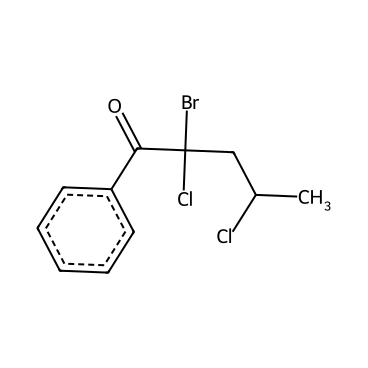 CC(Cl)CC(Cl)(Br)C(=O)c1ccccc1